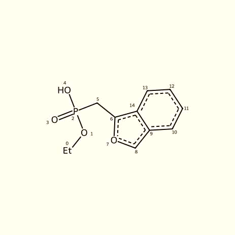 CCOP(=O)(O)Cc1occ2ccccc12